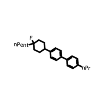 CCCCCC1(F)CCC(c2ccc(-c3ccc(CCC)cc3)cc2)CC1